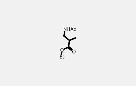 CCOC(=O)C(C)CNC(C)=O